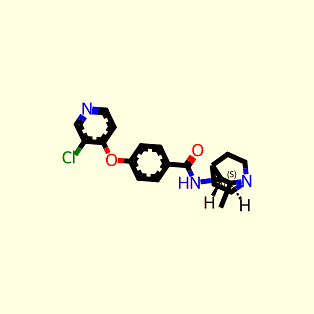 C[C@H]1[C@H](NC(=O)c2ccc(Oc3ccncc3Cl)cc2)C2CCN1CC2